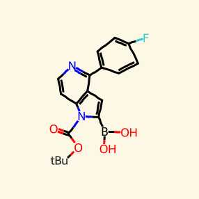 CC(C)(C)OC(=O)n1c(B(O)O)cc2c(-c3ccc(F)cc3)nccc21